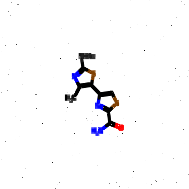 CC(=O)Nc1nc(C)c(-c2csc(C(N)=O)n2)s1